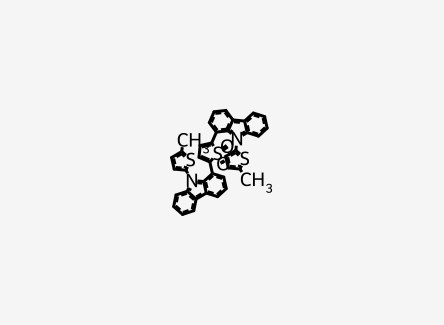 Cc1ccc(-n2c3ccccc3c3cccc(C4=CC=C(c5cccc6c7ccccc7n(-c7ccc(C)s7)c56)S4(=O)=O)c32)s1